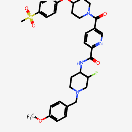 CS(=O)(=O)c1ccc(OC2CCN(C(=O)c3ccc(C(=O)NC4CCN(Cc5ccc(OC(F)(F)F)cc5)CC4F)nc3)CC2)cc1